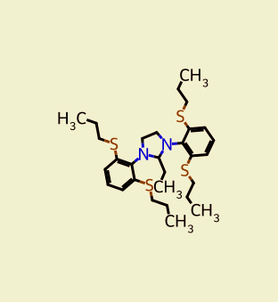 CCCSc1cccc(SCCC)c1N1CCN(c2c(SCCC)cccc2SCCC)C1CC